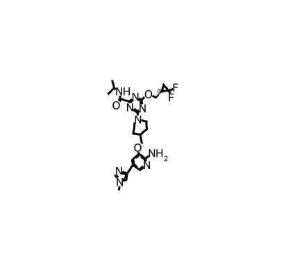 CC(C)NC(=O)c1nc(OC[C@H]2CC2(F)F)nc(N2CCC(COc3cc(-c4cn(C)cn4)cnc3N)CC2)n1